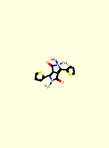 CCCC[N+]1(C)C(=O)C2=C(c3cccs3)N(C)C(=O)C2=C1c1cccs1